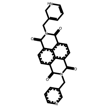 O=C1c2ccc3c4c(ccc(c24)C(=O)N1CC1=CC=CNC1)C(=O)N(Cc1cccnc1)C3=O